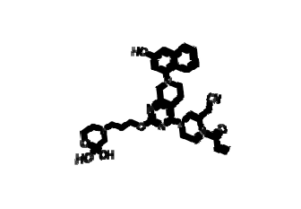 C=CC(=O)N1CCN(c2nc(OCCCN3CCOC(O)(O)C3)nc3c2CCN(c2cc(O)cc4ccccc24)C3)CC1CC#N